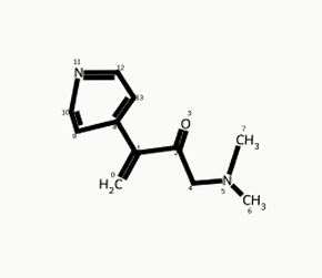 C=C(C(=O)CN(C)C)c1ccncc1